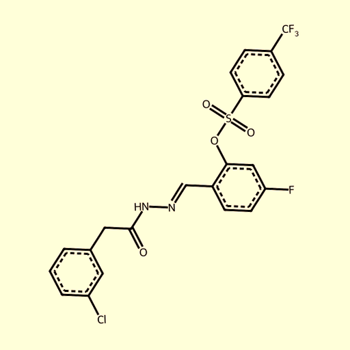 O=C(Cc1cccc(Cl)c1)N/N=C/c1ccc(F)cc1OS(=O)(=O)c1ccc(C(F)(F)F)cc1